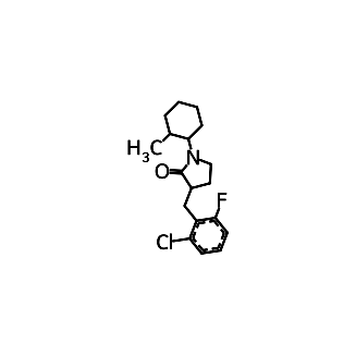 CC1CCCCC1N1CCC(Cc2c(F)cccc2Cl)C1=O